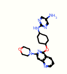 Nc1cnc(NC2CCC(Oc3nc(N4CCOCC4)cc4ncccc34)CC2)nc1